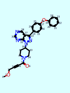 COCC#CC(=O)N1CCC(n2nc(-c3ccc(Oc4ccccc4)cc3)c3cncnc32)CC1